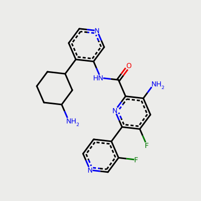 Nc1cc(F)c(-c2ccncc2F)nc1C(=O)Nc1cnccc1C1CCCC(N)C1